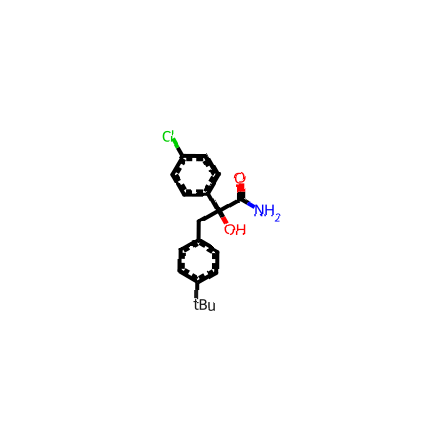 CC(C)(C)c1ccc(CC(O)(C(N)=O)c2ccc(Cl)cc2)cc1